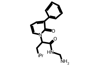 CC(C)CC(C(=O)NCN)n1cccc(-c2ccccc2)c1=O